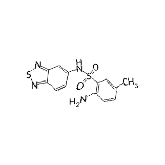 Cc1ccc(N)c(S(=O)(=O)Nc2ccc3nsnc3c2)c1